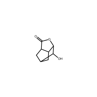 O=C1OC2C(O)C3CC1C2C3